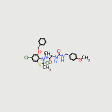 COc1ccc(CNC(=O)NCC(=O)N(C)N2c3c(OCc4ccccc4)cc(Cl)cc3SC2(C)Cl)cc1